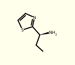 CC[C@H](N)c1nccs1